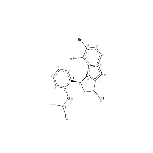 OC1C[C@@H](c2ccccc2OC(F)F)n2c1nc1ccc(Br)c(F)c12